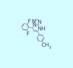 Cc1ccc(C2=CC(c3c(F)cccc3F)n3ncnc3N2)cc1